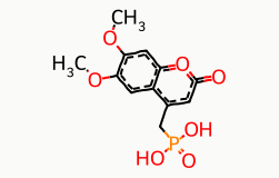 COc1cc2oc(=O)cc(CP(=O)(O)O)c2cc1OC